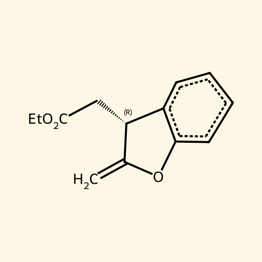 C=C1Oc2ccccc2[C@H]1CC(=O)OCC